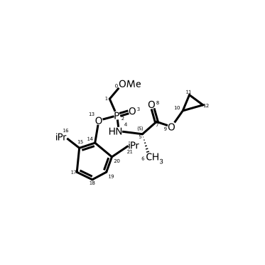 COCP(=O)(N[C@@H](C)C(=O)OC1CC1)Oc1c(C(C)C)cccc1C(C)C